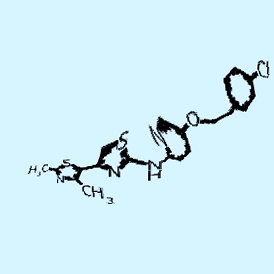 Cc1nc(C)c(-c2csc(Nc3ccc(OCc4ccc(Cl)cc4)cn3)n2)s1